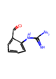 N=C(N)Nc1ccccc1[C]=O